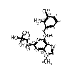 Cn1cnc2c(NCc3cccc(Cl)c3N)nc(NCC(C)(C)O)nc21